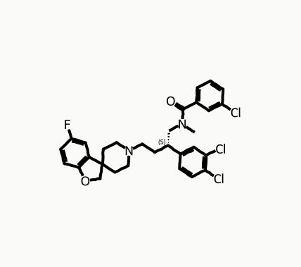 CN(C[C@@H](CCN1CCC2(CC1)COc1ccc(F)cc12)c1ccc(Cl)c(Cl)c1)C(=O)c1cccc(Cl)c1